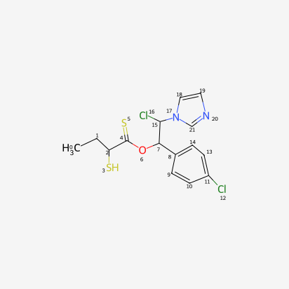 CCC(S)C(=S)OC(c1ccc(Cl)cc1)C(Cl)n1ccnc1